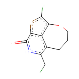 O=c1[nH]c(CCl)c2c3c(c(Br)sc13)OCCC2